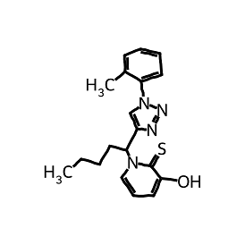 CCCCC(c1cn(-c2ccccc2C)nn1)n1cccc(O)c1=S